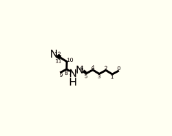 CCCCCC=NNC(C)CC#N